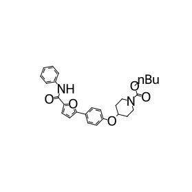 CCCCOC(=O)N1CCC(Oc2ccc(-c3ccc(C(=O)Nc4ccccc4)o3)cc2)CC1